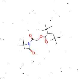 CC(C)(C)CC(C(=O)OCC(=O)N1C(=O)CC1(C)C)C(C)(C)C